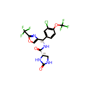 O=C1NC[C@@H](C(=O)N[C@@H](c2ccc(OC(F)(F)F)c(Cl)c2)c2coc(C(F)(F)F)n2)N1